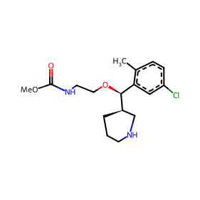 COC(=O)NCCO[C@@H](c1cc(Cl)ccc1C)[C@@H]1CCCNC1